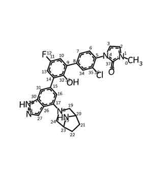 Cn1ccn(-c2ccc(-c3cc(F)cc(-c4cc(N5CC6CCC(C5)N6)c5cn[nH]c5c4)c3O)cc2Cl)c1=O